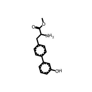 COC(=O)C(N)Cc1ccc(-c2cccc(O)c2)cc1